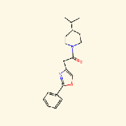 CC(C)C1CCN(C(=O)Cc2coc(-c3ccccc3)n2)CC1